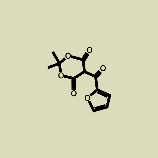 CC1(C)OC(=O)C(C(=O)c2ccco2)C(=O)O1